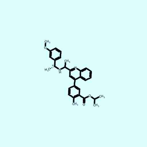 COc1cccc([C@@H](C)NC(C)c2cc(-c3ccc(C)c(C(=O)OC(C)C)c3)c3ccccc3n2)c1